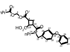 CCCC(=O)OCOC(=O)C1CC(C(=O)N(CCC)Cc2ccc(Oc3ccccc3)cc2)C1C(=O)O